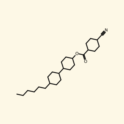 CCCCCCC1CCC(C2CCC(OC(=O)C3CCC(C#N)CC3)CC2)CC1